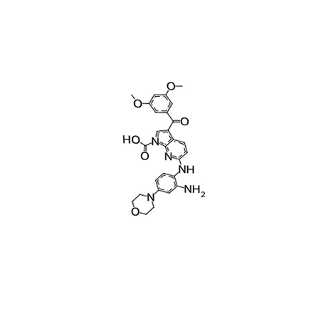 COc1cc(OC)cc(C(=O)c2cn(C(=O)O)c3nc(Nc4ccc(N5CCOCC5)cc4N)ccc23)c1